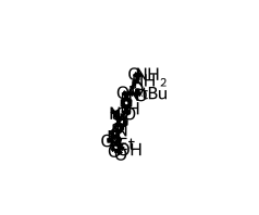 CC[C@@]1(O)C(=O)OCc2c1cc1n(c2=O)Cc2cc3c(CN(C)C)c(OC(=O)N4CCN(C(=O)[C@H](CCCNC(N)=O)NC(=O)OC(C)(C)C)CC4)ccc3nc2-1